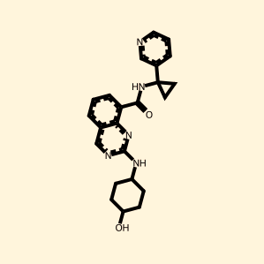 O=C(NC1(c2cccnc2)CC1)c1cccc2cnc(NC3CCC(O)CC3)nc12